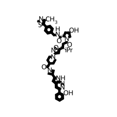 Cc1ncsc1-c1ccc(CNC(=O)[C@@H]2C[C@@H](O)CN2C(=O)C[C@@H](c2cc(N3CCC(C(=O)N4CC(c5cc6cc(-c7ccccc7O)nnc6[nH]5)C4)CC3)no2)C(C)C)cc1